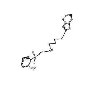 O=C(O)c1ccccc1S(=O)(=O)CCNCCCCc1nc2ccccc2o1